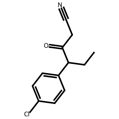 CCC(C(=O)CC#N)c1ccc(Cl)cc1